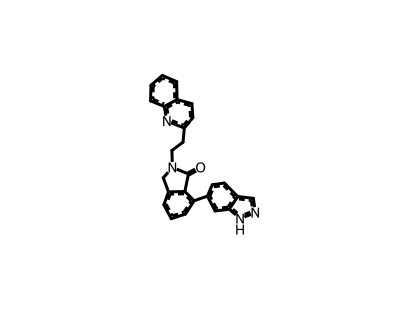 O=C1c2c(cccc2-c2ccc3cn[nH]c3c2)CN1CCc1ccc2ccccc2n1